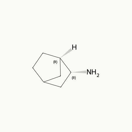 N[C@@H]1CC2CC[C@@H]1C2